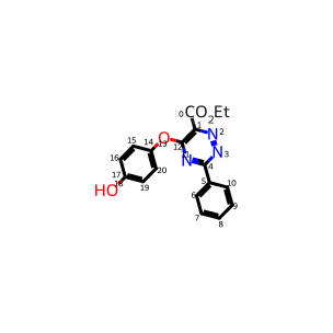 CCOC(=O)c1nnc(-c2ccccc2)nc1Oc1ccc(O)cc1